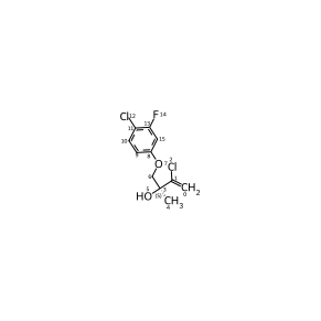 C=C(Cl)[C@@](C)(O)COc1ccc(Cl)c(F)c1